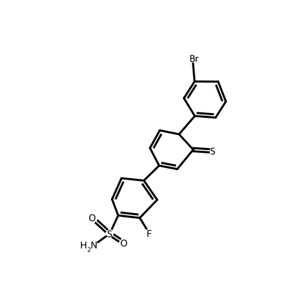 NS(=O)(=O)c1ccc(C2=CC(=S)C(c3cccc(Br)c3)C=C2)cc1F